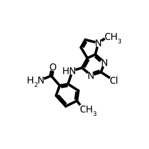 Cc1ccc(C(N)=O)c(Nc2nc(Cl)nc3c2ccn3C)c1